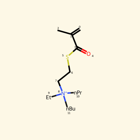 C=C(C)C(=O)SCC[N+](CC)(CCC)CCCC